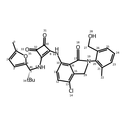 Cc1ccc([C@H](Nc2c(Nc3ccc(Cl)c4c3C(=O)N(c3c(C)cccc3CO)C4)c(=O)c2=O)C(C)(C)C)o1